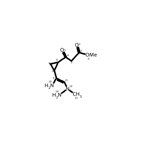 COC(=O)CC(=O)C1CC1/C(N)=C/N(C)N